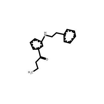 CCCC(=O)c1cccc(NCCc2ccccc2)c1